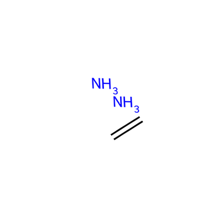 C=C.N.N